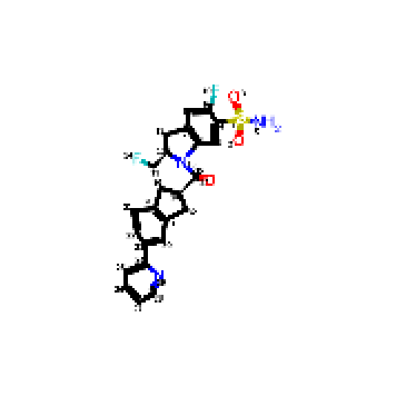 NS(=O)(=O)c1cc2c(cc1F)C[C@H](CF)N2C(=O)[C@@H]1Cc2ccc(-c3ccccn3)cc2C1